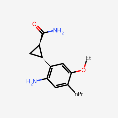 CCCc1cc(N)c([C@@H]2C[C@H]2C(N)=O)cc1OCC